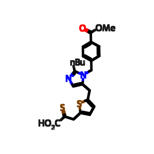 CCCCc1ncc(Cc2ccc(CC(=S)C(=O)O)s2)n1Cc1ccc(C(=O)OC)cc1